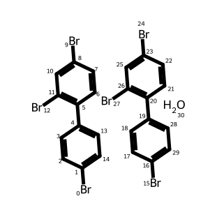 Brc1ccc(-c2ccc(Br)cc2Br)cc1.Brc1ccc(-c2ccc(Br)cc2Br)cc1.O